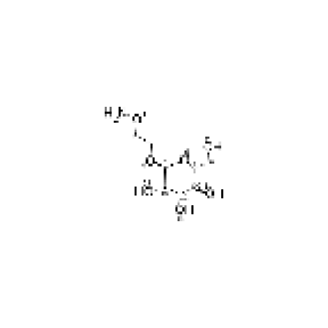 NOCCO[C@H]1O[C@H](CO)[C@@H](O)[C@H](O)[C@@H]1O